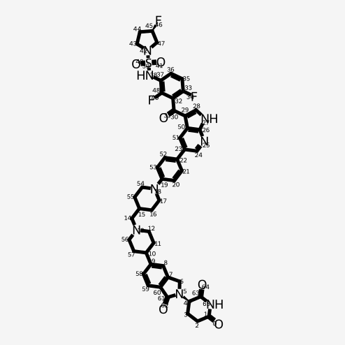 O=C1CC[C@@H](N2Cc3cc(C4CCN(CC5CCN(c6ccc(-c7cnc8[nH]cc(C(=O)c9c(F)ccc(NS(=O)(=O)N%10CC[C@@H](F)C%10)c9F)c8c7)cc6)CC5)CC4)ccc3C2=O)C(=O)N1